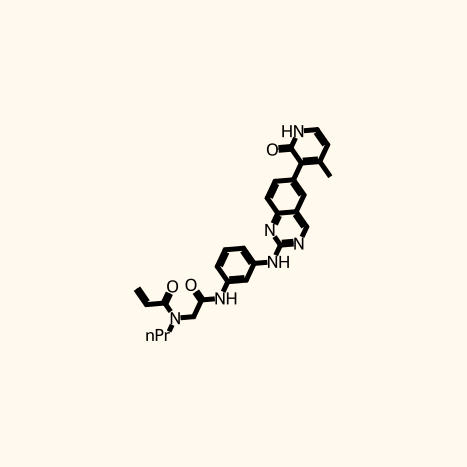 C=CC(=O)N(CCC)CC(=O)Nc1cccc(Nc2ncc3cc(-c4c(C)cc[nH]c4=O)ccc3n2)c1